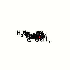 CCCN1C(=O)c2cc(C(=O)N3CCN(C)CC3)nn2CC1(C)C(=O)NC1CCCC1